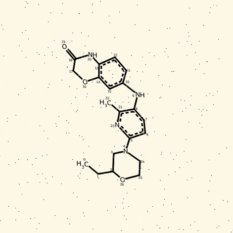 CCC1CN(c2ccc(Nc3ccc4c(c3)OCC(=O)N4)c(C)n2)CCO1